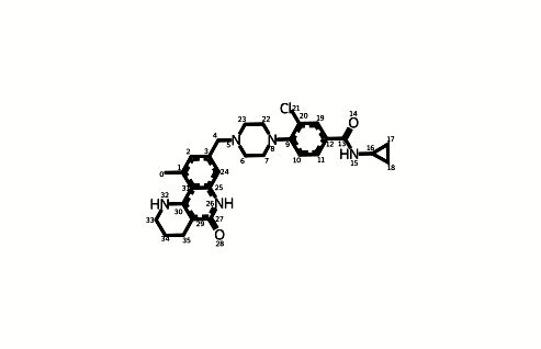 Cc1cc(CN2CCN(c3ccc(C(=O)NC4CC4)cc3Cl)CC2)cc2[nH]c(=O)c3c(c12)NCCC3